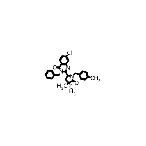 Cc1ccc(CN2C(=O)C(C)(C)CC2c2nc3cc(Cl)ccc3c(=O)n2Cc2ccccc2)cc1